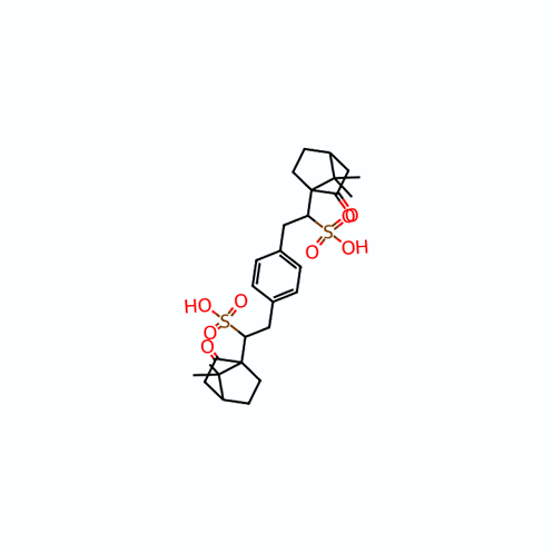 CC1(C)C2CCC1(C(Cc1ccc(CC(C34CCC(CC3=O)C4(C)C)S(=O)(=O)O)cc1)S(=O)(=O)O)C(=O)C2